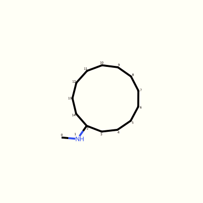 CNC1CCCCCCCCCCCC1